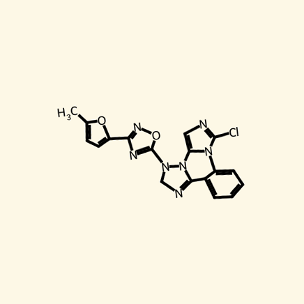 Cc1ccc(-c2noc(N3CN=C4c5ccccc5-n5c(cnc5Cl)N43)n2)o1